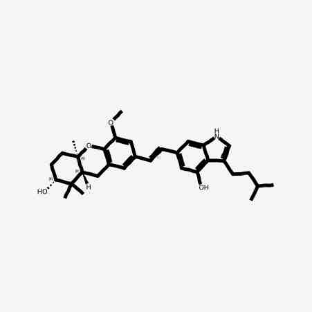 COc1cc(/C=C/c2cc(O)c3c(CCC(C)C)c[nH]c3c2)cc2c1O[C@]1(C)CC[C@@H](O)C(C)(C)[C@H]1C2